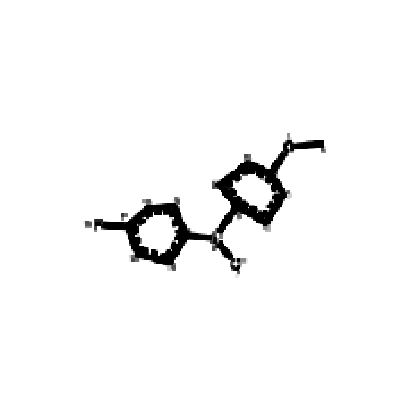 COc1ccc([S+]([O-])c2ccc(F)cc2)cc1